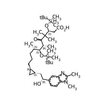 Cc1nc2cc([C@H](O)C[C@@H]3C[C@H]3CCC[C@H](C)[C@H](O[Si](C)(C)C(C)(C)C)[C@@H](C)C(=O)C(C)(C)[C@H](CC(=O)O)O[Si](C)(C)C(C)(C)C)ccc2n1C